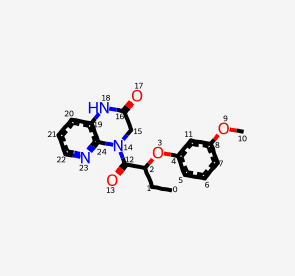 CCC(Oc1cccc(OC)c1)C(=O)N1CC(=O)Nc2cccnc21